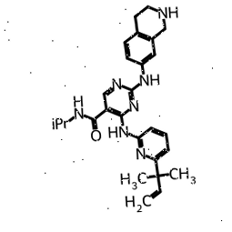 C=CC(C)(C)c1cccc(Nc2nc(Nc3ccc4c(c3)CNCC4)ncc2C(=O)NC(C)C)n1